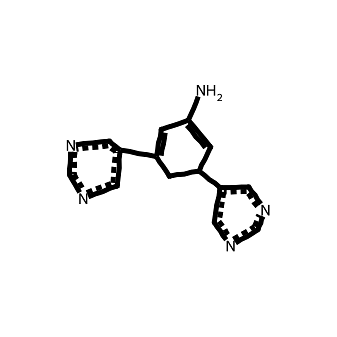 NC1=CC(c2cncnc2)CC(c2cncnc2)=C1